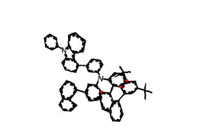 CC(C)(C)c1cc(-c2cccc3cccc(-c4ccccc4N(c4cccc(-c5cccc6ccccc56)c4)c4cccc(-c5cccc6c5c5ccccc5n6-c5ccccc5)c4)c23)cc(C(C)(C)C)c1